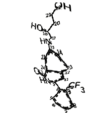 O=c1[nH]c(-c2ccccc2C(F)(F)F)cc2ccc(NCC(O)CCO)cc12